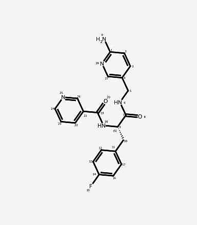 Nc1ccc(CNC(=O)[C@H](Cc2ccc(F)cc2)NC(=O)c2cccnc2)cn1